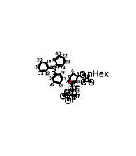 CCCCCCS(=O)(=O)OC1CC2CC1C(C(F)(F)C(F)(F)S(=O)(=O)[O-])C2.c1ccc([S+](c2ccccc2)c2ccccc2)cc1